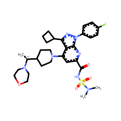 C[C@@H](C1CCN(c2cc(C(=O)NS(=O)(=O)N(C)C)nc3c2c(C2CCC2)nn3-c2ccc(F)cc2)CC1)N1CCOCC1